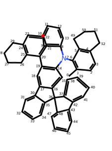 Cc1ccc2c(c1N(c1ccccc1)c1cc3c(cc1-c1cccc4c1CCCC4)-c1ccccc1C31c3ccccc3-c3ccccc31)CCCC2